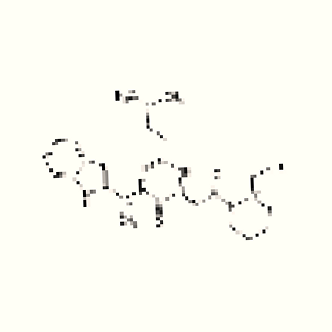 CC[C@H]1CCCCN1C(=O)C[C@H](NC(=O)CCC(C)C)C(=O)N[C@@H](C)c1nc2ccccc2[nH]1